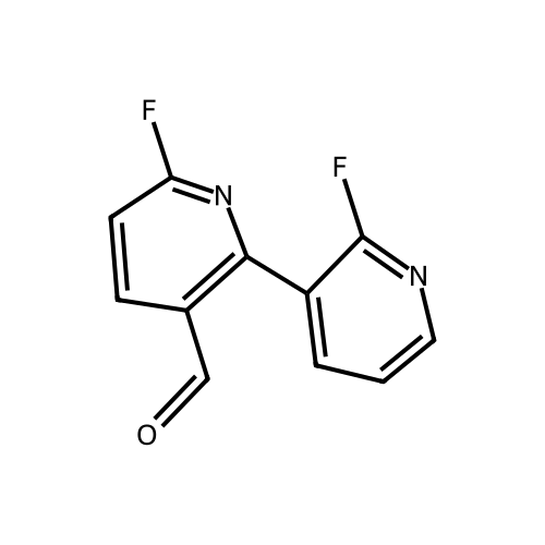 O=Cc1ccc(F)nc1-c1cccnc1F